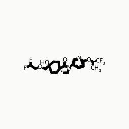 C[C@@H](Oc1ccc(N2CC[C@]3(CC[C@](O)(COCC(F)F)CC3)C2=O)cn1)C(F)(F)F